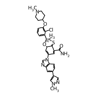 C[C@@H](OC1C=C(n2cnc3cc(-c4cnn(C)c4)ccc32)C=C(C(N)=O)C1=S)c1cccc(OC2CCN(C)CC2)c1Cl